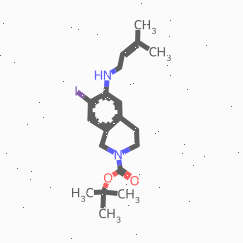 CC(C)=CCNc1cc2c(cc1I)CN(C(=O)OC(C)(C)C)CC2